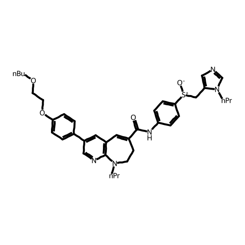 CCCCOCCOc1ccc(-c2cnc3c(c2)C=C(C(=O)Nc2ccc([S+]([O-])Cc4cncn4CCC)cc2)CCN3CCC)cc1